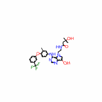 Cc1cc(Nc2ncnc3c(O)cn(CCNC(=O)CC(C)(C)O)c23)ccc1Oc1cccc(C(F)(F)F)c1